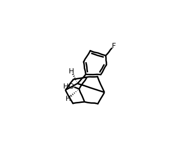 O[C@H]1C2CC3CC1CC(C2)[C@H]3c1ccc(F)cc1